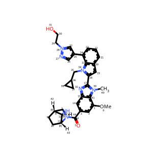 COc1cc(C(=O)N2C[C@H]3CC[C@@H]2[C@@H]3N)cc2nc(-c3cc4cccc(-c5cnn(CCO)c5)c4n3CC3CC3)n(C)c12